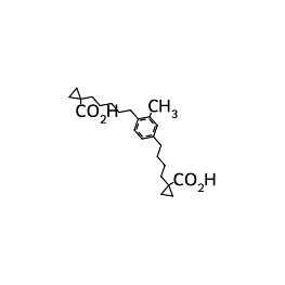 Cc1cc(CCCCC2(C(=O)O)CC2)ccc1CCCCCC1(C(=O)O)CC1